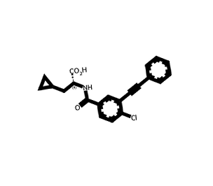 O=C(N[C@H](CC1CC1)C(=O)O)c1ccc(Cl)c(C#Cc2ccccc2)c1